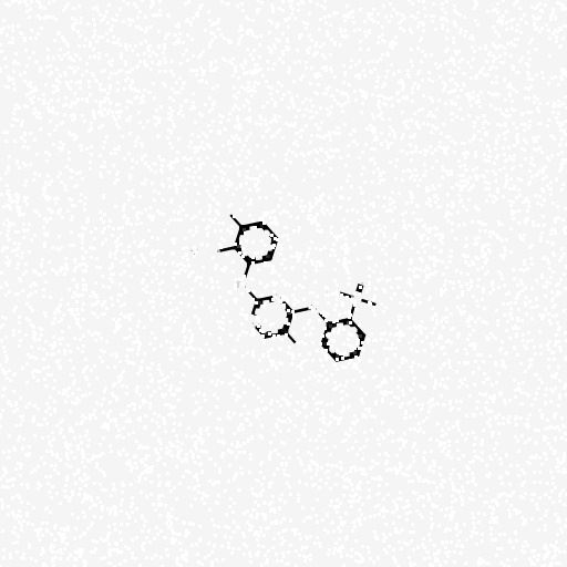 CCP(C)(=O)c1ccccc1Nc1nc(Nc2cccc(Br)c2OC)ncc1Cl